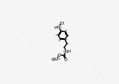 CCNc1ccc(CCNC(=O)OC(C)(C)C)cc1